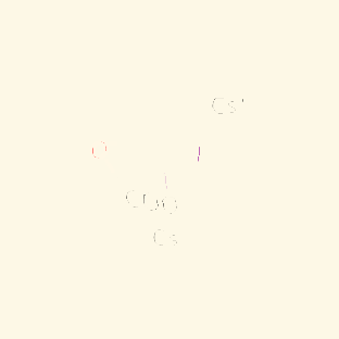 CI.CI.O=C([O-])[O-].[Cs+].[Cs+]